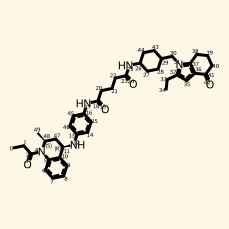 CCC(=O)N1c2ccccc2[C@H](Nc2ccc(NC(=O)CCCC(=O)NC3CCC(Cn4c(CC)cc5c4CCCC5=O)CC3)cc2)C[C@@H]1C